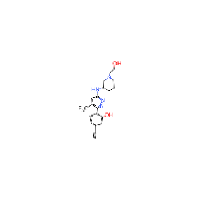 C#Cc1ccc(-c2nnc(NC3CCCN(CCO)C3)cc2C(F)(F)F)c(O)c1